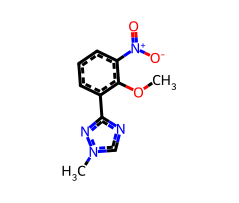 COc1c(-c2ncn(C)n2)cccc1[N+](=O)[O-]